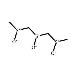 C[S+]([O-])C[S+]([O-])C[S+](C)[O-]